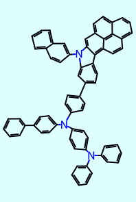 c1ccc(-c2ccc(N(c3ccc(-c4ccc5c6c7ccc8cccc9ccc(cc6n(-c6ccc%10ccccc%10c6)c5c4)c7c98)cc3)c3ccc(N(c4ccccc4)c4ccccc4)cc3)cc2)cc1